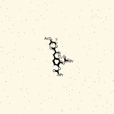 CCCC(=O)Oc1ccc(C[C@H](N)C(=O)O[C@@H](C)C(C)OC(C)=O)cc1OC(=O)CCC